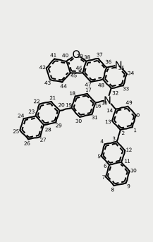 c1cc(-c2ccc3ccccc3c2)cc(N(c2ccc(-c3ccc4ccccc4c3)cc2)c2ccnc3cc4oc5ccccc5c4cc23)c1